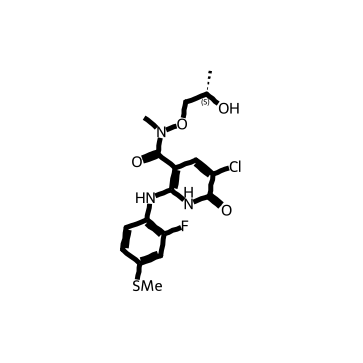 CSc1ccc(Nc2[nH]c(=O)c(Cl)cc2C(=O)N(C)OC[C@H](C)O)c(F)c1